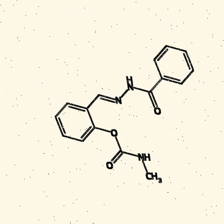 CNC(=O)Oc1ccccc1C=NNC(=O)c1ccccc1